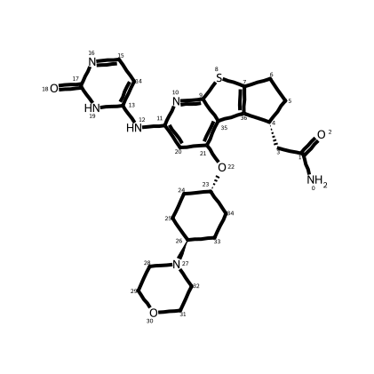 NC(=O)C[C@H]1CCc2sc3nc(Nc4ccnc(=O)[nH]4)cc(O[C@H]4CC[C@H](N5CCOCC5)CC4)c3c21